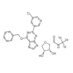 [2H]C([2H])([2H])NC(=O)[C@H]1O[C@@H](n2cnc3c(OCc4ccccc4)nc(-c4cncc(Cl)c4)nc32)[C@H](O)[C@@H]1O